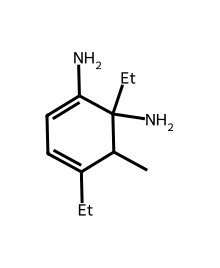 CCC1=CC=C(N)C(N)(CC)C1C